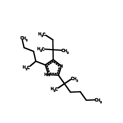 CCCCC(C)(C)c1nc(C(C)(C)CC)c(C(C)CCC)[nH]1